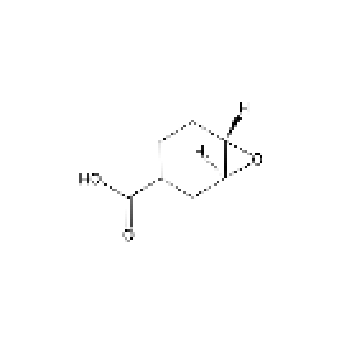 O=C(O)C1CC[C@@H]2O[C@H]2C1